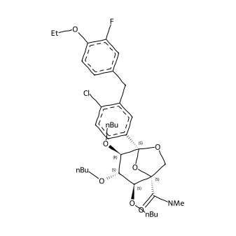 CCCCO[C@@H]1[C@@H](OCCCC)[C@@]2(c3ccc(Cl)c(Cc4ccc(OCC)c(F)c4)c3)OC[C@](C(=O)NC)(O2)[C@H]1OCCCC